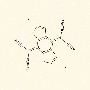 [C-]#[N+]C(C#N)=c1c2c(c(=C(C#N)[N+]#[C-])c3c1C=CC3)CC=C2